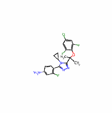 CC(C)(Oc1c(F)cc(Cl)cc1F)c1nnc(-c2ccc(N)cc2F)n1C1CC1